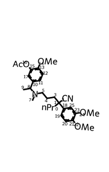 CCCC(C#N)(CCCN(C)C(C)c1ccc(OC)c(OC(C)=O)c1)c1ccc(OC)c(OC)c1